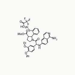 CCOc1cc(C(Nc2ccc3c(N)nccc3c2)C(=O)N2CCC(C(=O)OC)C2c2ccccc2SC(C)C)ccc1OC(C)C.O=C(O)C(F)(F)F